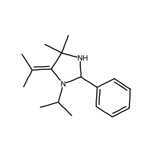 CC(C)=C1N(C(C)C)C(c2ccccc2)NC1(C)C